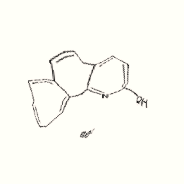 Oc1ccc2ccc3ccccc3c2n1.[Be]